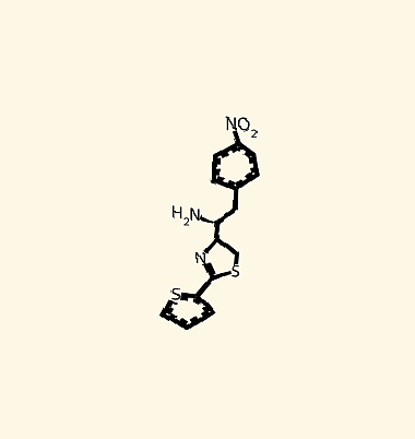 N[C@@H](Cc1ccc([N+](=O)[O-])cc1)C1CSC(c2cccs2)=N1